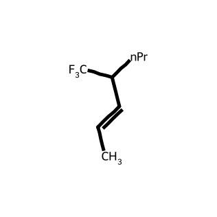 CC=CC(CCC)C(F)(F)F